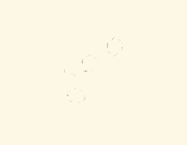 O=C(c1cc[c]cc1)c1ccc(-c2ccccc2)cc1